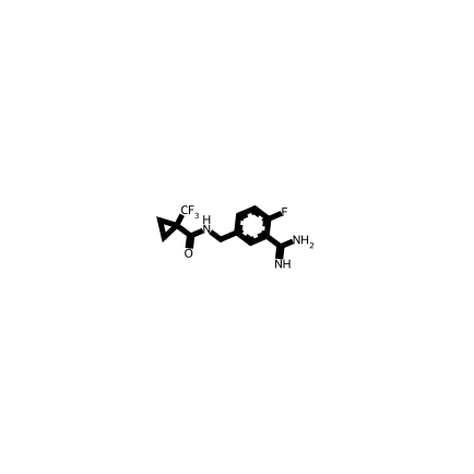 N=C(N)c1cc(CNC(=O)C2(C(F)(F)F)CC2)ccc1F